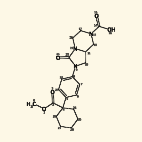 COC(=O)C1(c2ccc(N3CC4CN(C(=O)O)CCN4C3=O)cc2)CCCCC1